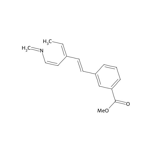 C=N\C=C/C(=C\C)/C=C/c1cccc(C(=O)OC)c1